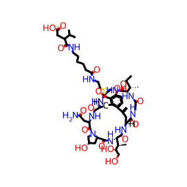 C=C1C[C@@H]2NC(=O)[C@H]([C@@H](C)[C@@H](O)CO)NC(=O)C3C[C@@H](O)CN3C(=O)C(CC(N)=O)NC(=O)[C@H](Cc3c1ccc(O)c3CSCCNC(=O)CCCCCNC(=O)C(CC(=O)O)C(C)C)NC(=O)CNC(=O)[C@H]([C@@H](C)CC)NC(=O)CNC2=O